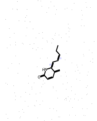 C=c1ccc(=O)[nH]/c1=C/C=C\CC